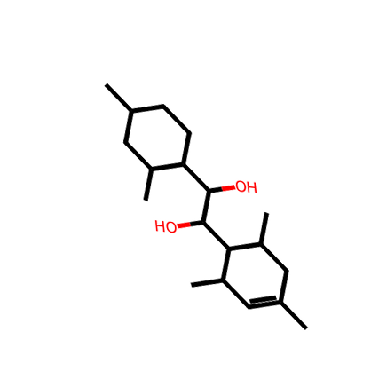 CC1=CC(C)C(C(O)C(O)C2CCC(C)CC2C)C(C)C1